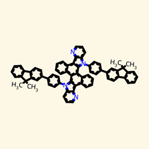 CC1(C)c2ccccc2-c2ccc(-c3ccc(-n4c5cccnc5c5c6ccccc6c6c(c7ccccc7c7c8ncccc8n(-c8ccc(-c9ccc%10c(c9)C(C)(C)c9ccccc9-%10)cc8)c76)c54)cc3)cc21